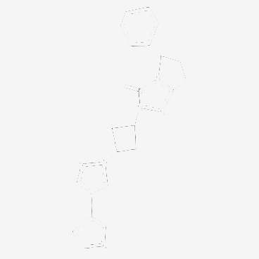 O=c1n(C2CC(n3cc(-c4cnoc4)cn3)C2)nc2n1[C@H](c1ccccc1)CC2